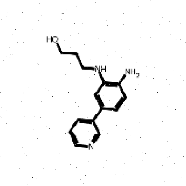 Nc1ccc(-c2cccnc2)cc1NCCCO